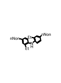 CCCCCCCCCc1ccc(Nc2ccc(CCCCCCCCC)cc2CC)c(CC)c1